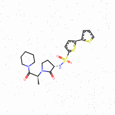 C[C@@H](C(=O)N1CCCCC1)N1CC[C@H](NS(=O)(=O)c2ccc(-c3cccs3)s2)C1=O